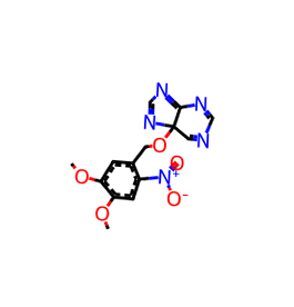 COc1cc(COC23C=NC=NC2=NC=N3)c([N+](=O)[O-])cc1OC